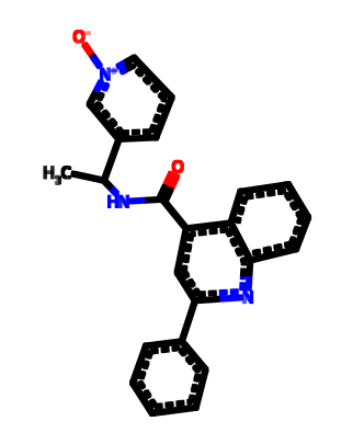 CC(NC(=O)c1cc(-c2ccccc2)nc2ccccc12)c1ccc[n+]([O-])c1